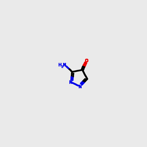 NC1=NN=CC1=O